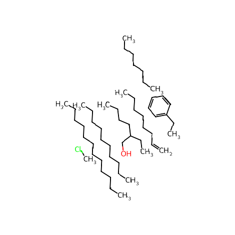 C=CCCCCCC.CCCCC(CC)CO.CCCCCCC.CCCCCCCCCC.CCCCCCCCCCCC.CCc1ccccc1.CCl